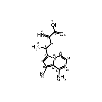 CC(CC(=N)C(=O)O)c1cc(Br)c2c(N)ncnn12